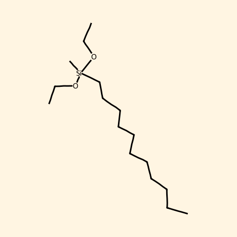 CCCCCCCCCCC[Si](C)(OCC)OCC